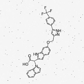 O=C(O)C(c1cc2ccc(OCc3cc(-c4ccc(C(F)(F)F)cc4)[nH]n3)cc2[nH]1)n1ccc2ccccc21